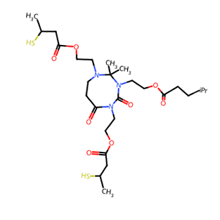 CC(C)CCC(=O)OCCN1C(=O)N(CCOC(=O)CC(C)S)C(=O)CCN(CCOC(=O)CC(C)S)C1(C)C